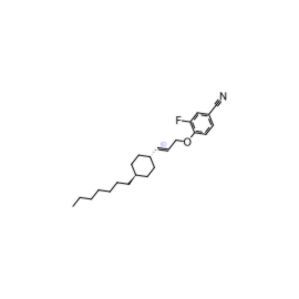 CCCCCCC[C@H]1CC[C@H](/C=C/COc2ccc(C#N)cc2F)CC1